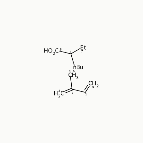 C=CC(=C)C.CCCCC(CC)C(=O)O